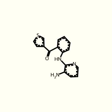 Nc1cccnc1Nc1ccccc1C(=O)c1ccsc1